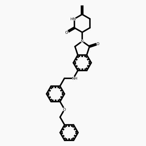 C=C1CCC(N2Cc3cc(NCc4cccc(OCc5ccccc5)c4)ccc3C2=O)C(=O)N1